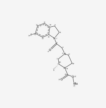 C[C@@H]1CN(CC(=O)N2CCc3ccc(F)cc32)CCN1C(=O)OC(C)(C)C